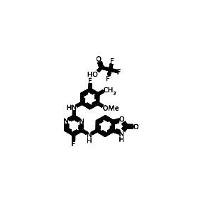 COc1cc(Nc2ncc(F)c(Nc3ccc4oc(=O)[nH]c4c3)n2)cc(F)c1C.O=C(O)C(F)(F)F